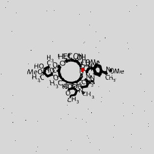 CC[C@H]1OC(=O)[C@H](C)[C@@H](O[C@H]2C[C@@](C)(OC)[C@@H](O)[C@H](C)O2)[C@H](C)[C@@H](O[C@@H]2O[C@H](C)C[C@H](N(C)CCc3cn([C@H](CF)[C@H](OC)c4ccc(/C(C)=N/OC)cc4)nn3)[C@H]2O)[C@](C)(O)C[C@@H](C)CN(C)[C@H](C)[C@@H](O)[C@]1(C)O